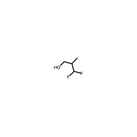 CC(CO)C(F)F